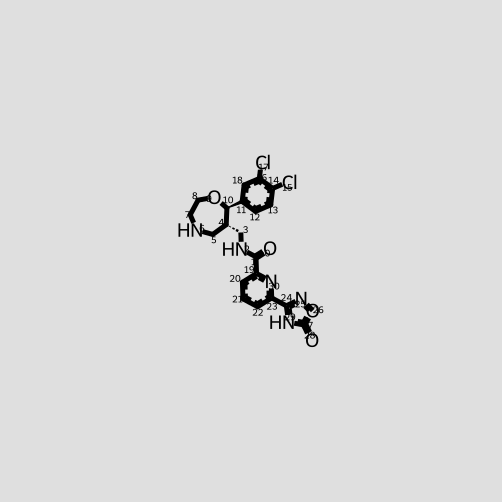 O=C(NC[C@@H]1CNCCO[C@H]1c1ccc(Cl)c(Cl)c1)c1cccc(-c2noc(=O)[nH]2)n1